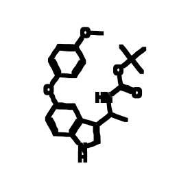 COc1ccc(Oc2ccc3[nH]cc(C(C)NC(=O)OC(C)(C)C)c3c2)cc1